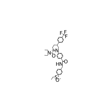 CCN(CC)C(=O)[C@@H]1CCC(c2ccc(C(F)(F)F)cc2)CN1c1ccc(C(=O)NCc2ccc([S+]([O-])CC)cc2)cc1